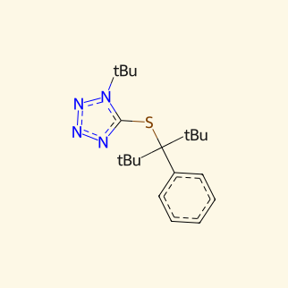 CC(C)(C)n1nnnc1SC(c1ccccc1)(C(C)(C)C)C(C)(C)C